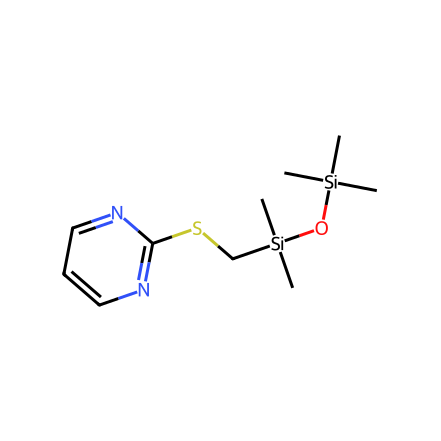 C[Si](C)(C)O[Si](C)(C)CSc1ncccn1